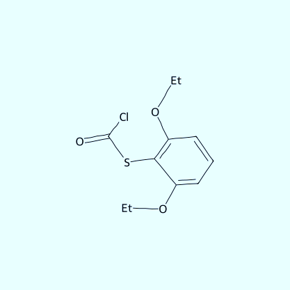 CCOc1cccc(OCC)c1SC(=O)Cl